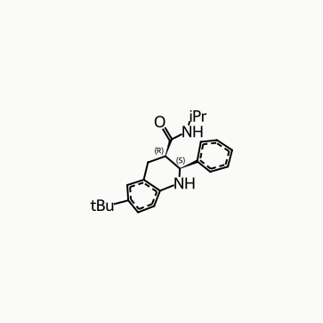 CC(C)NC(=O)[C@@H]1Cc2cc(C(C)(C)C)ccc2N[C@@H]1c1ccccc1